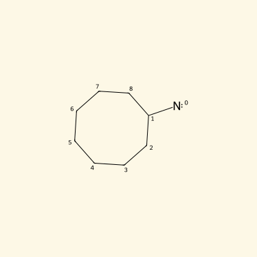 [N]C1CCCCCCC1